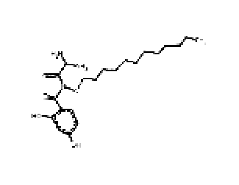 CCCCCCCCCCCCNN(C(=O)c1ccc(O)cc1O)C(=O)C(N)N